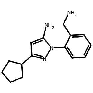 NCc1ccccc1-n1nc(C2CCCC2)cc1N